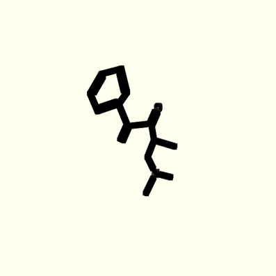 C=C(C(=O)C(C)CN(C)C)c1ccccc1